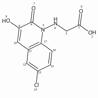 O=C(O)CNn1c(=O)c(O)cc2cc(Cl)ccc21